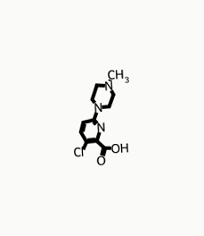 CN1CCN(c2ccc(Cl)c(C(=O)O)n2)CC1